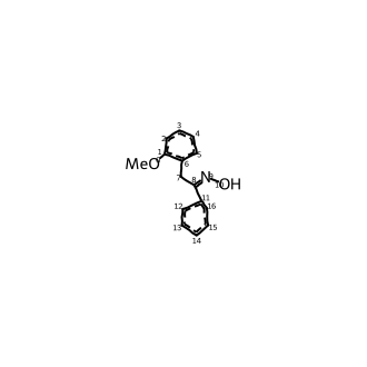 COc1ccccc1CC(=NO)c1ccccc1